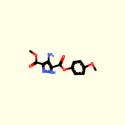 COC(=O)c1n[nH]c(C(=O)Oc2ccc(OC)cc2)c1N